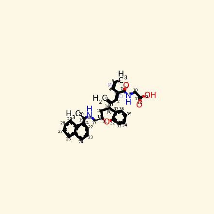 C=C(/C=C(\C=C/C)C(=O)NCC(=O)O)[C@@H]1C[C@H](CN[C@H](C)c2cccc3ccccc23)Oc2ccccc21